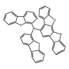 c1ccc2c(c1)oc1c2cc(N(c2cccc3c2sc2ccccc23)c2cccc3c2sc2ccccc23)c2c3ccccc3oc12